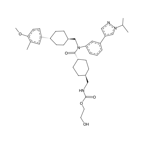 COc1ccc([C@H]2CC[C@H](CN(c3cccc(-c4cnn(C(C)C)c4)c3)C(=O)[C@H]3CC[C@H](CNC(=O)OCCO)CC3)CC2)cc1C